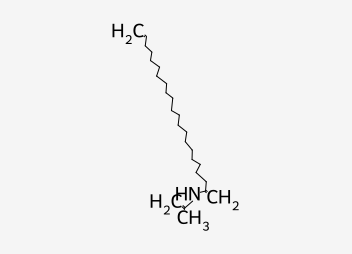 C=CCCCCCCCCCCCCCCCCCCC(=C)NCC(=C)C